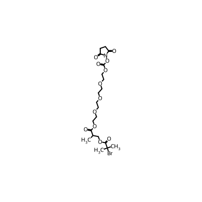 CC(COC(=O)C(C)(C)Br)C(=O)OCCOCCOCCOCCOC(=O)ON1C(=O)CCC1=O